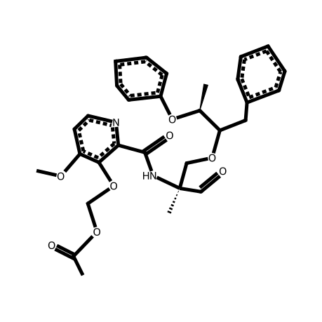 COc1ccnc(C(=O)N[C@](C)(C=O)COC(Cc2ccccc2)[C@H](C)Oc2ccccc2)c1OCOC(C)=O